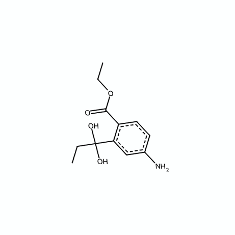 CCOC(=O)c1ccc(N)cc1C(O)(O)CC